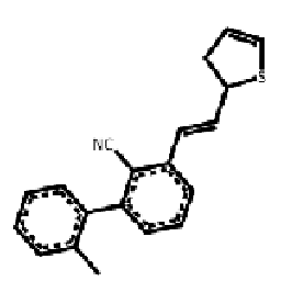 Cc1ccccc1-c1cccc(C=CC2CC=CS2)c1C#N